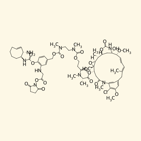 COc1cc2cc(c1Cl)N(C)C(=O)C[C@H](OC(=O)[C@H](C)N(C)C(=O)CCOC(=O)N(C)CCN(C)C(=O)OCc1ccc(OC(=O)N[C@H]3CCCC/C=C/[C@@H]3N)c(NCC(=O)ON3C(=O)CCC3=O)c1)[C@]1(C)O[C@H]1[C@H](C)[C@@H]1C[C@@](O)(NC(=O)O1)[C@H](OC)/C=C/C=C(\C)C2